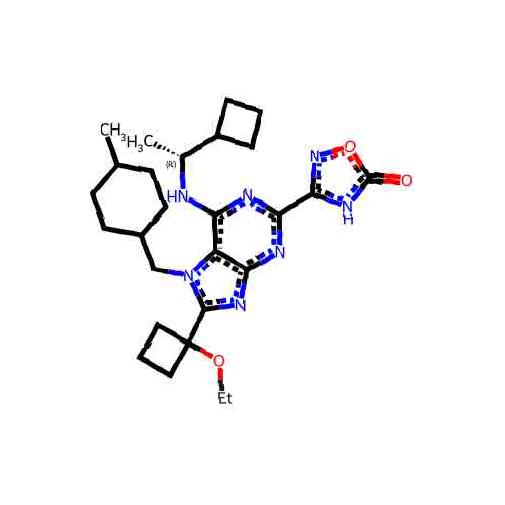 CCOC1(c2nc3nc(-c4noc(=O)[nH]4)nc(N[C@H](C)C4CCC4)c3n2CC2CCC(C)CC2)CCC1